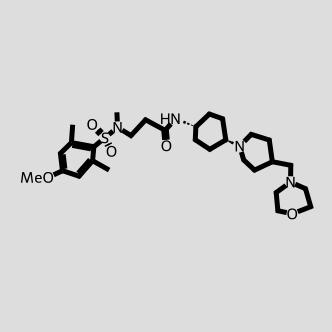 COc1cc(C)c(S(=O)(=O)N(C)CCC(=O)N[C@H]2CC[C@@H](N3CCC(CN4CCOCC4)CC3)CC2)c(C)c1